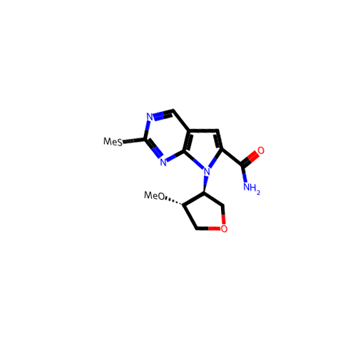 CO[C@H]1COC[C@@H]1n1c(C(N)=O)cc2cnc(SC)nc21